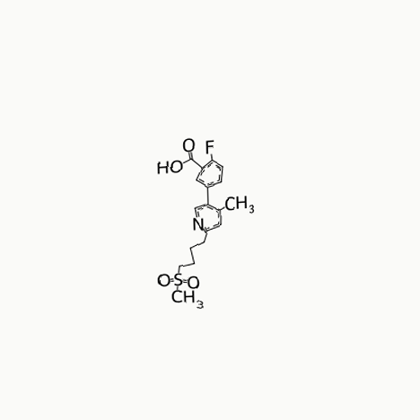 Cc1cc(CCCCS(C)(=O)=O)ncc1-c1ccc(F)c(C(=O)O)c1